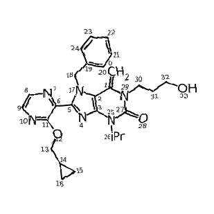 C=C1c2c(nc(-c3nccnc3OCC3CC3)n2Cc2ccccc2)N(C(C)C)C(=O)N1CCCO